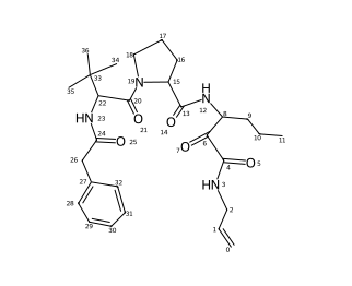 C=CCNC(=O)C(=O)C(CCC)NC(=O)C1CCCN1C(=O)C(NC(=O)Cc1ccccc1)C(C)(C)C